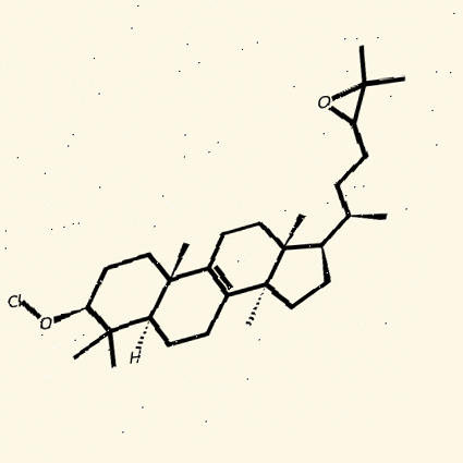 C[C@H](CCC1OC1(C)C)[C@H]1CC[C@@]2(C)C3=C(CC[C@]12C)[C@@]1(C)CC[C@H](OCl)C(C)(C)[C@@H]1CC3